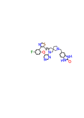 CC(C)c1scnc1-c1cc(F)ccc1Oc1cncnc1N1CCC2(CCN(Cc3ccc4[nH]c(=O)[nH]c4c3)C2)C1